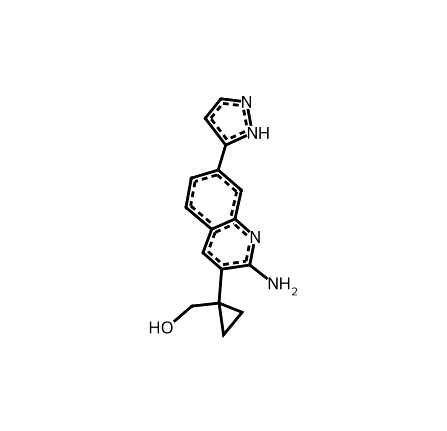 Nc1nc2cc(-c3ccn[nH]3)ccc2cc1C1(CO)CC1